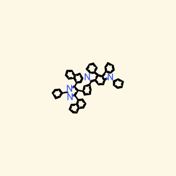 c1ccc(-c2nc(-c3cccc4ccccc34)c(-c3cccc(-c4nc5ccccc5c5c4ccc4c5c5ccccc5n4-c4ccccc4)c3)c(-c3cccc4ccccc34)n2)cc1